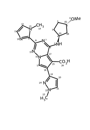 CO[C@H]1CC[C@H](Nc2nc(-c3nccn3C)nn3cc(-c4ccn(C)n4)c(C(=O)O)c23)C1